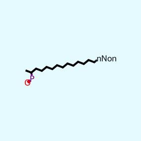 CCCCCCCCCCCCCCCCCCCCCC(C)P=O